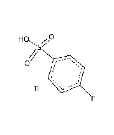 O=S(=O)(O)c1ccc(F)cc1.[Tl]